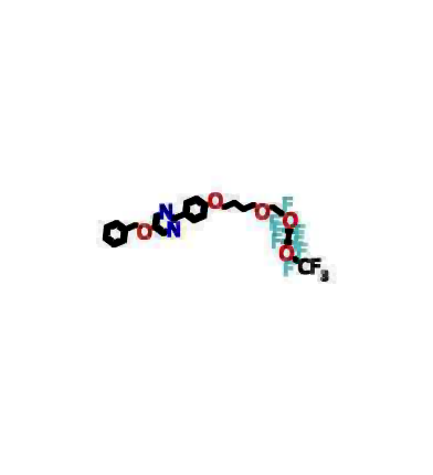 FC(F)(COCCCCOc1ccc(-c2ncc(OCc3ccccc3)cn2)cc1)OC(F)(F)C(F)(F)OC(F)(F)C(F)(F)F